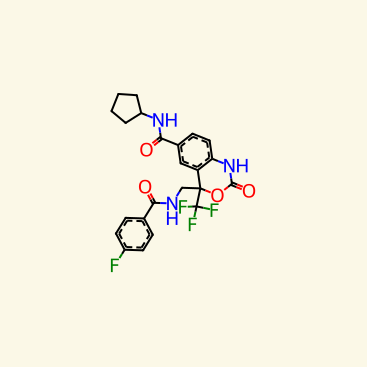 O=C1Nc2ccc(C(=O)NC3CCCC3)cc2C(CNC(=O)c2ccc(F)cc2)(C(F)(F)F)O1